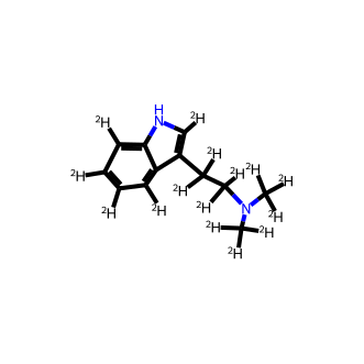 [2H]c1[nH]c2c([2H])c([2H])c([2H])c([2H])c2c1C([2H])([2H])C([2H])([2H])N(C([2H])([2H])[2H])C([2H])([2H])[2H]